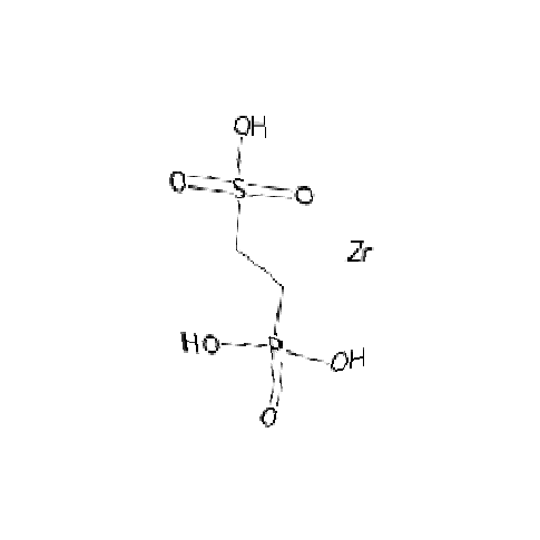 O=P(O)(O)CCS(=O)(=O)O.[Zr]